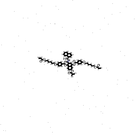 C=CC(=O)OCCCCCCOc1ccc(C(=O)Oc2cc(/C=N/Nc3cccc4ccccc34)c(OC(=O)c3ccc(OCCCCCCOC(=O)C=C)cc3)c3ccc(OC(=O)C(=C)C)cc23)cc1